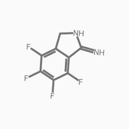 N=C1NCc2c(F)c(F)c(F)c(F)c21